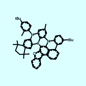 Cc1cc2c3c(c1)N(c1ccc(C(C)(C)C)cc1-c1ccccc1)c1ccc4c(oc5ccccc54)c1B3c1cc3c(cc1N2c1ccc(C(C)(C)C)cc1C)C(C)(C)CCC3(C)C